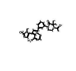 CC(=O)N1CCN(c2cccc(-c3cc(-c4cnc(Cl)n4C)c4c(N)ncnn34)c2)C(=O)C1(C)C